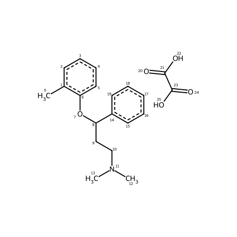 Cc1ccccc1OC(CCN(C)C)c1ccccc1.O=C(O)C(=O)O